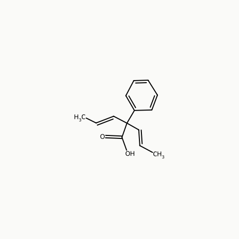 CC=CC(C=CC)(C(=O)O)c1ccccc1